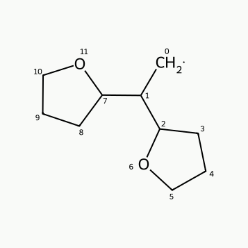 [CH2]C(C1CCCO1)C1CCCO1